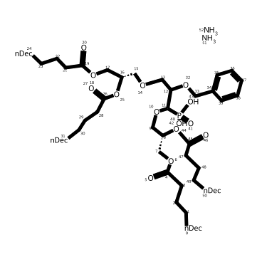 CCCCCCCCCCCCCC(=O)OC[C@H](COC(C(COC[C@@H](COC(=O)CCCCCCCCCCCCC)OC(=O)CCCCCCCCCCCCC)OCc1ccccc1)P(=O)(O)O)OC(=O)CCCCCCCCCCCCC.N.N